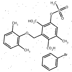 Brc1ccccc1.Cc1cccc(C)c1OCc1c(C(=O)O)c(C)cc(OS(C)(=O)=O)c1C(=O)O